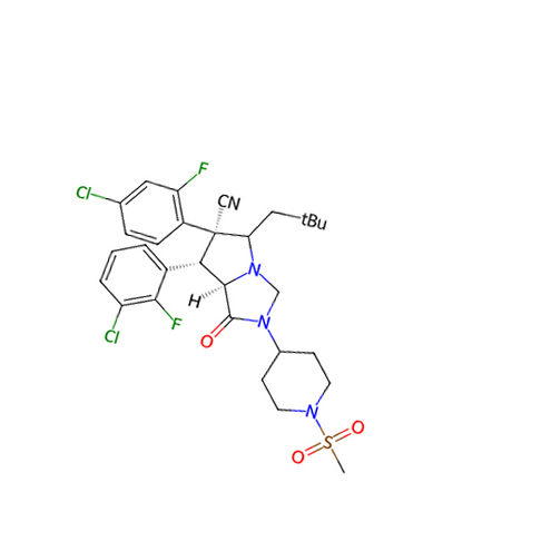 CC(C)(C)CC1N2CN(C3CCN(S(C)(=O)=O)CC3)C(=O)[C@H]2[C@H](c2cccc(Cl)c2F)[C@@]1(C#N)c1ccc(Cl)cc1F